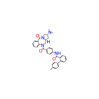 Cc1ccc(-c2ccccc2C(=O)Nc2ccc(C(=O)N3C[C@@H]4C[C@@H](N(C)C)CN4C(=O)c4ccccc43)cc2)cc1